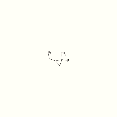 CC(C)CC1CC1(C)F